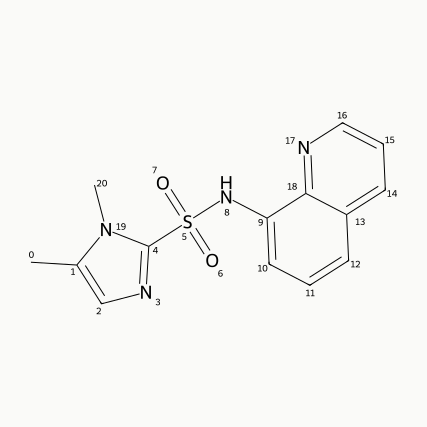 Cc1cnc(S(=O)(=O)Nc2cccc3cccnc23)n1C